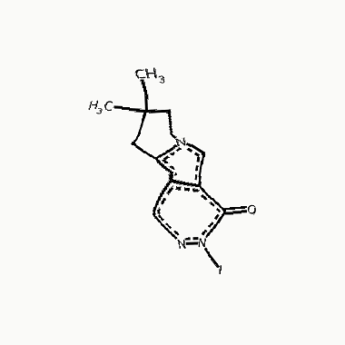 CC1(C)Cc2c3cnn(I)c(=O)c3cn2C1